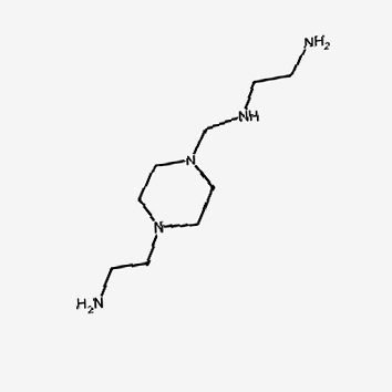 NCCNCN1CCN(CCN)CC1